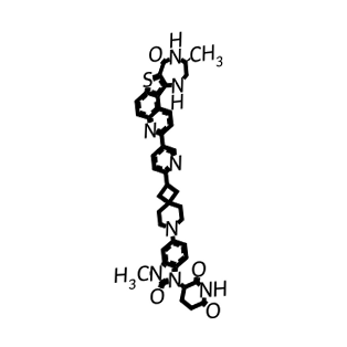 C[C@@H]1CNc2c(sc3ccc4nc(-c5ccc(C6CC7(CCN(c8ccc9c(c8)n(C)c(=O)n9C8CCC(=O)NC8=O)CC7)C6)nc5)ccc4c23)C(=O)N1